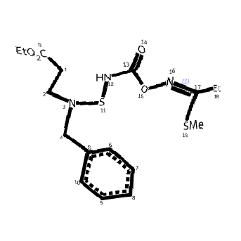 CCOC(=O)CCN(Cc1ccccc1)SNC(=O)O/N=C(/CC)SC